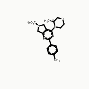 CCOC(=O)N1Cc2nc(-c3ccc(N)cc3)nc(N3CCOC[C@@H]3C)c2C1